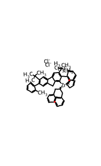 Cc1ccccc1-c1cc2c(cc1C(C)(C)C)-c1cc(C(C)(C)C)c(-c3ccccc3C)[c]([Zr+2]([C]3=CC=CC3)=[C](Cc3ccccc3)Cc3ccccc3)c1C2.[Cl-].[Cl-]